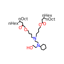 CCCCCCCCC(CCCCCC)CC(=O)COCCCCN(CCCCCOC(=O)CC(CCCCCC)CCCCCCCC)CCN(CCO)C1CCCCC1